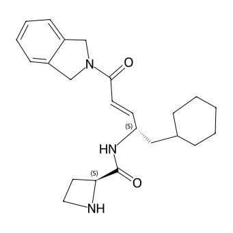 O=C(N[C@H](C=CC(=O)N1Cc2ccccc2C1)CC1CCCCC1)[C@@H]1CCN1